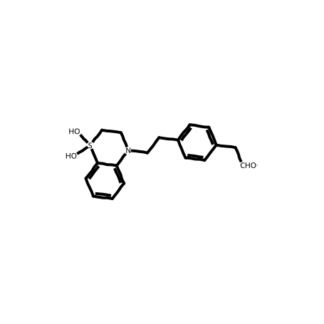 O=[C]Cc1ccc(CCN2CCS(O)(O)c3ccccc32)cc1